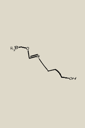 BOC=NCCCO